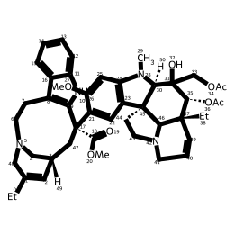 CCC1=C[C@@H]2CN(CCc3c([nH]c4ccccc34)[C@@](C(=O)OC)(c3cc4c(cc3OC)N(C)[C@H]3C(O)(COC(C)=O)[C@H](OC(C)=O)[C@]5(CC)C=CCN6CC[C@]43C65)C2)C1